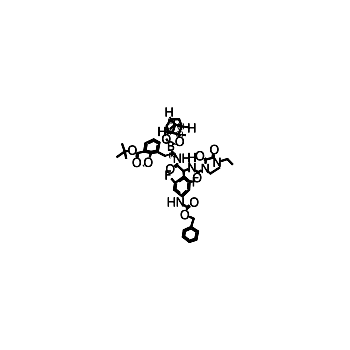 CCN1CCN(C(=O)NC(C(=O)N[C@@H](Cc2cccc(C(=O)OC(C)(C)C)c2OC)B2O[C@@H]3C[C@@H]4C[C@@H](C4(C)C)[C@]3(C)O2)c2c(F)cc(NC(=O)OCc3ccccc3)cc2F)C(=O)C1=O